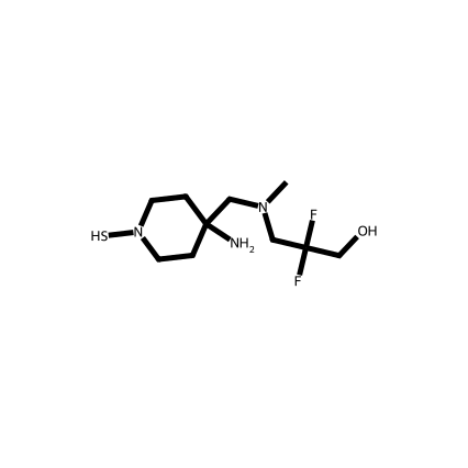 CN(CC(F)(F)CO)CC1(N)CCN(S)CC1